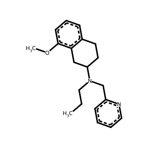 CCCN(Cc1ccccn1)C1CCc2cccc(OC)c2C1